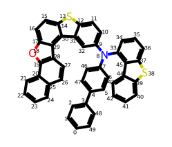 c1ccc(-c2ccc(N(c3ccc4sc5ccc6oc7c8ccccc8ccc7c6c5c4c3)c3cccc4sc5ccccc5c34)cc2)cc1